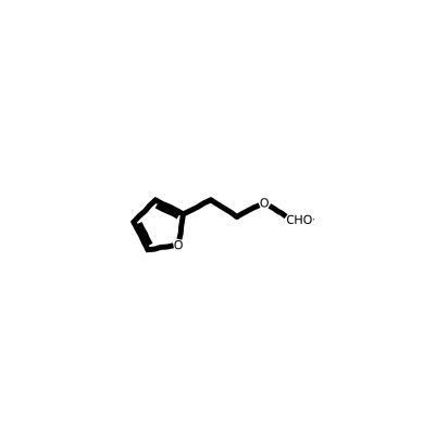 O=[C]OCCc1ccco1